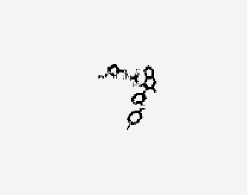 Cc1cc2c(c(NC(=O)NSc3ccn(C(C)C)n3)c1-c1ccnc(OC3CCN(C)CC3)c1)CCC2